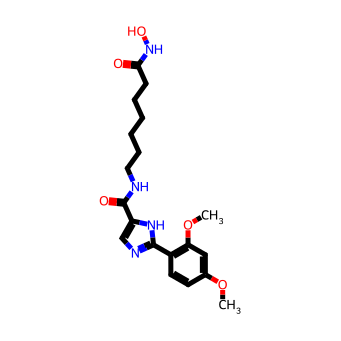 COc1ccc(-c2ncc(C(=O)NCCCCCCC(=O)NO)[nH]2)c(OC)c1